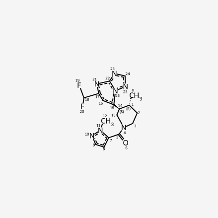 C[C@@H]1CCN(C(=O)c2ccnn2C)C[C@H]1c1cc(C(F)F)nc2ncnn12